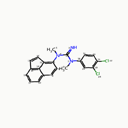 CN(C(=N)N(C)c1ccc2cccc3c2c1C=C3)c1ccc(Cl)c(Cl)c1